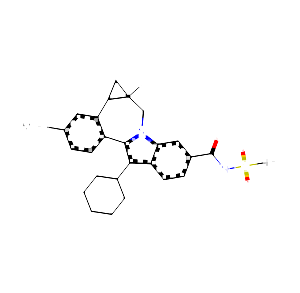 COc1ccc2c(c1)C1CC1(C=O)Cn1c-2c(C2CCCCC2)c2ccc(C(=O)NS(=O)(=O)C(C)C)cc21